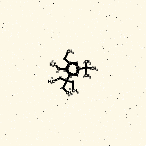 CCc1cc(C(C)(C)C)cc(C(CC)(CC)CC)c1OC